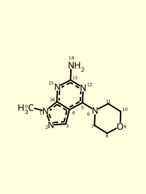 Cn1ncc2c(N3CCOCC3)nc(N)nc21